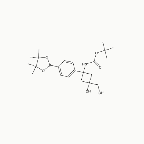 CC(C)(C)OC(=O)NC1(c2ccc(B3OC(C)(C)C(C)(C)O3)cc2)CC(O)(CO)C1